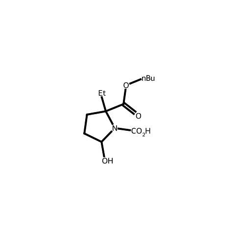 CCCCOC(=O)C1(CC)CCC(O)N1C(=O)O